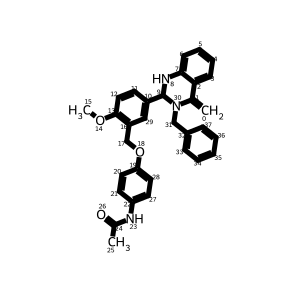 C=C1c2ccccc2NC(c2ccc(OC)c(COc3ccc(NC(C)=O)cc3)c2)N1Cc1ccccc1